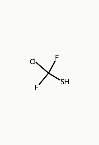 FC(F)(S)Cl